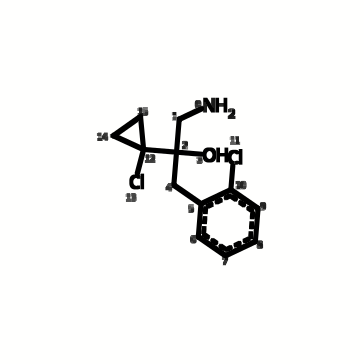 NCC(O)(Cc1ccccc1Cl)C1(Cl)CC1